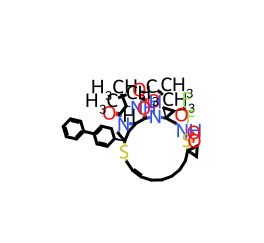 CC(C)(C)OC(=O)N[C@H](C(=O)N1C[C@]2(C3C=CC(c4ccccc4)=CC3)C[C@H]1C(=O)N[C@@]1(C[C@H]1C(F)F)C(=O)NS(=O)(=O)C1(CCCCC/C=C\CS2)CC1)C(C)(C)C